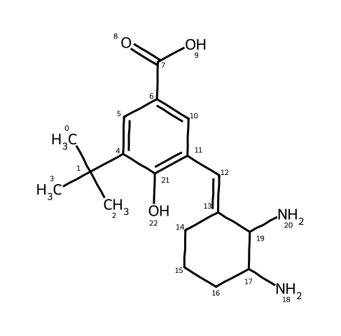 CC(C)(C)c1cc(C(=O)O)cc(C=C2CCCC(N)C2N)c1O